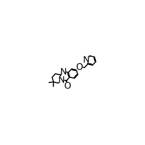 CC1(C)CCc2nc3cc(OCc4ccccn4)ccc3c(=O)n2C1